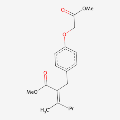 COC(=O)COc1ccc(C/C(C(=O)OC)=C(/C)C(C)C)cc1